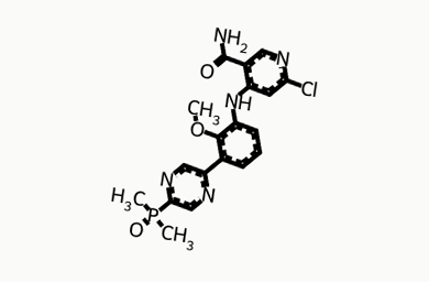 COc1c(Nc2cc(Cl)ncc2C(N)=O)cccc1-c1cnc(P(C)(C)=O)cn1